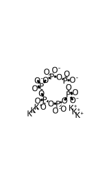 O=P1([O-])OP(=O)([O-])OP(=O)([O-])OP(=O)([O-])OP(=O)([O-])OP(=O)([O-])O1.[K+].[K+].[K+].[K+].[K+].[K+]